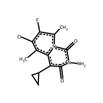 Cc1c(Cl)c(F)c(C)n2c(=O)n(N)c(=O)c(C3CC3)c12